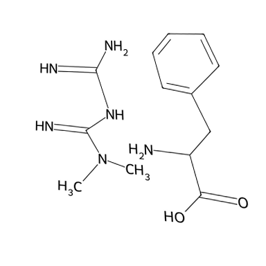 CN(C)C(=N)NC(=N)N.NC(Cc1ccccc1)C(=O)O